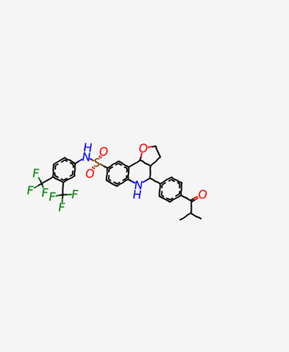 CC(C)C(=O)c1ccc(C2Nc3ccc(S(=O)(=O)Nc4ccc(C(F)(F)F)c(C(F)(F)F)c4)cc3C3OCCC23)cc1